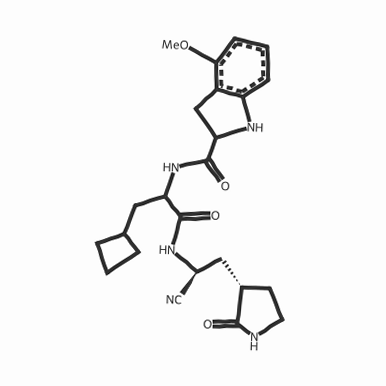 COc1cccc2c1CC(C(=O)NC(CC1CCC1)C(=O)N[C@H](C#N)C[C@@H]1CCNC1=O)N2